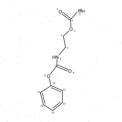 CC(C)(C)C(=O)OCCNC(=O)Oc1ccccc1